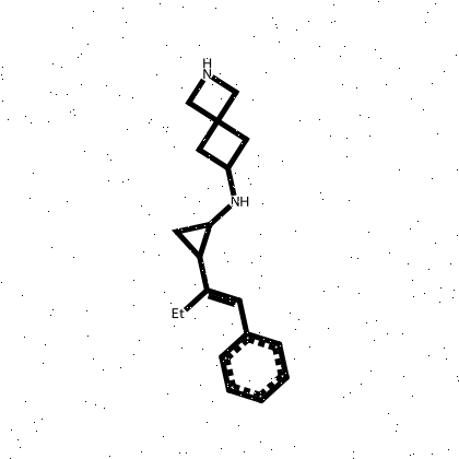 CCC(=Cc1ccccc1)C1CC1NC1CC2(CNC2)C1